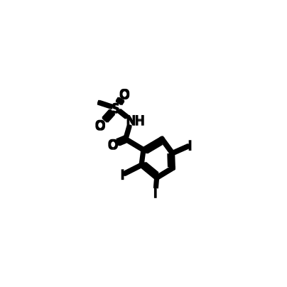 CS(=O)(=O)NC(=O)c1cc(I)cc(I)c1I